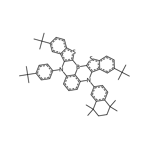 CC(C)(C)c1ccc(N2c3cccc4c3B(c3sc5ccc(C(C)(C)C)cc5c32)c2sc3ccc(C(C)(C)C)cc3c2N4c2ccc3c(c2)C(C)(C)CCC3(C)C)cc1